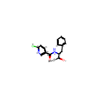 COC(=O)C(Cc1ccccc1)NC(=O)c1ccc(Cl)nc1